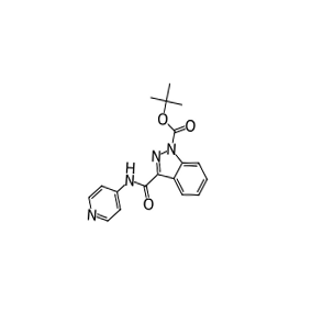 CC(C)(C)OC(=O)n1nc(C(=O)Nc2ccncc2)c2ccccc21